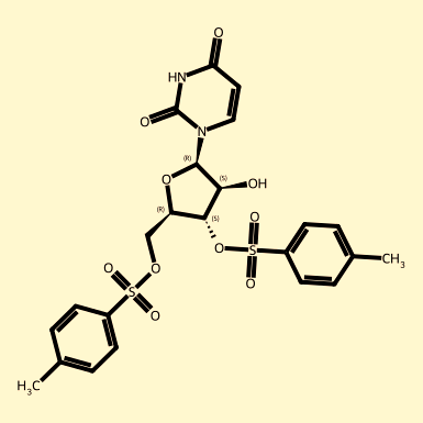 Cc1ccc(S(=O)(=O)OC[C@H]2O[C@@H](n3ccc(=O)[nH]c3=O)[C@@H](O)[C@@H]2OS(=O)(=O)c2ccc(C)cc2)cc1